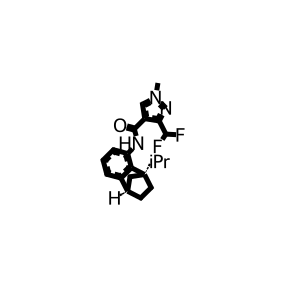 CC(C)[C@]12CC[C@H](C1)c1cccc(NC(=O)c3cn(C)nc3C(F)F)c12